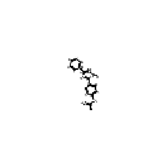 CC(=O)Oc1ccc(-c2nc(-c3ccccc3)nn2C)cc1